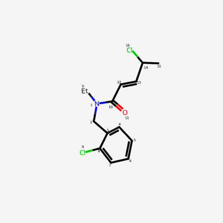 CCN(Cc1ccccc1Cl)C(=O)/C=C/C(C)Cl